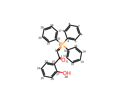 O=C(C=P(c1ccccc1)(c1ccccc1)c1ccccc1)c1ccccc1O